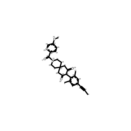 CC#Cc1cc(C)c(C2C(=O)CC3(CCN(C(=O)c4ccc(OC)cn4)CC3)CC2=O)c(C)c1